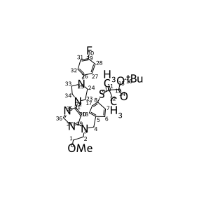 COCCN(Cc1ccc(SC(C)(C)C(=O)OC(C)(C)C)cc1)c1cc(N2CCN(c3ccc(F)cc3)CC2)ncn1